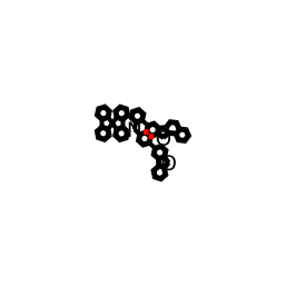 c1ccc(N(c2ccc(-c3ccc4oc5ccccc5c4c3)cc2)c2cccc3c2-c2ccccc2C32c3ccccc3-c3ccccc32)c(-c2ccc3oc4c5ccccc5ccc4c3c2)c1